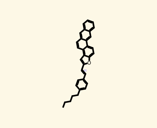 CCCCCc1ccc(/C=C/c2cc3c(ccc4c5cc6ccccc6cc5ccc34)o2)cc1